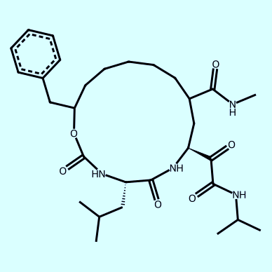 CNC(=O)C1CCCCCC(Cc2ccccc2)OC(=O)N[C@@H](CC(C)C)C(=O)N[C@H](C(=O)C(=O)NC(C)C)C1